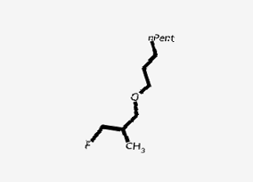 [CH2]CCCCCCCOCC(C)CF